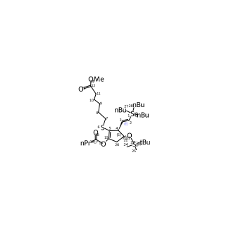 CCC[CH2][Sn](/[CH]=C/[C@@H]1C(SCCCCCC(=O)OC)=C(OC(=O)CCC)C[C@H]1O[Si](C)(C)C(C)(C)C)([CH2]CCC)[CH2]CCC